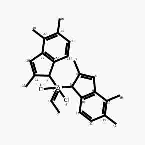 C[CH]=[Zr]([Cl])([Cl])([CH]1C(C)=Cc2c1ccc(C)c2C)[CH]1C(C)=Cc2c1ccc(C)c2C